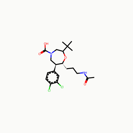 CC(=O)NCCC[C@H]1OC(C(C)(C)C)CN(C(=O)O)C[C@@H]1c1ccc(Cl)c(Cl)c1